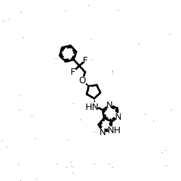 FC(F)(CO[C@H]1CC[C@H](Nc2ncnc3[nH]ncc23)C1)c1ccccc1